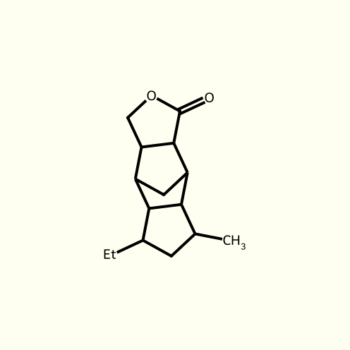 CCC1CC(C)C2C3CC(C4COC(=O)C43)C12